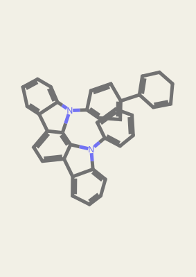 C1=CC(c2ccc(-n3c4ccccc4c4ccc5c6ccccc6n(-c6ccccc6)c5c43)cc2)=CCC1